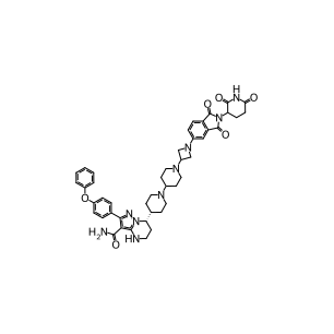 NC(=O)c1c(-c2ccc(Oc3ccccc3)cc2)nn2c1NCC[C@H]2C1CCN(C2CCN(C3CN(c4ccc5c(c4)C(=O)N(C4CCC(=O)NC4=O)C5=O)C3)CC2)CC1